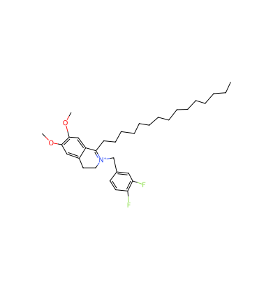 CCCCCCCCCCCCCCCC1=[N+](Cc2ccc(F)c(F)c2)CCc2cc(OC)c(OC)cc21